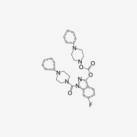 O=C(Oc1nn(C(=O)N2CCN(c3ccccc3)CC2)c2cc(F)ccc12)ON1CCN(c2ccccc2)CC1